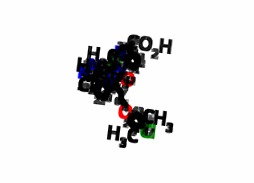 Cc1cc(OCCCc2c3n(c4c(-c5c(C)ncnc5C)cccc24)[C@H](C)C(Cl)N(c2cccc4c(C(=O)O)cn(C)c24)C3=O)cc(C)c1Cl